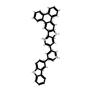 c1ccc2c(c1)sc1ccc(-c3cncc(-c4cnc5c(c4)sc4cc6c7ccccc7c7ccccc7c6cc45)c3)cc12